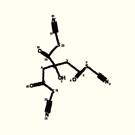 N#CSC(=O)CC(O)(CC(=O)SC#N)C(=O)SC#N